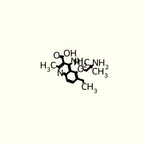 CCc1ccc2nc(C)c(C(=O)O)c(N)c2c1OCC(C)(C)N